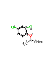 CCCCCCC(C)Oc1ccc(Cl)cc1Cl